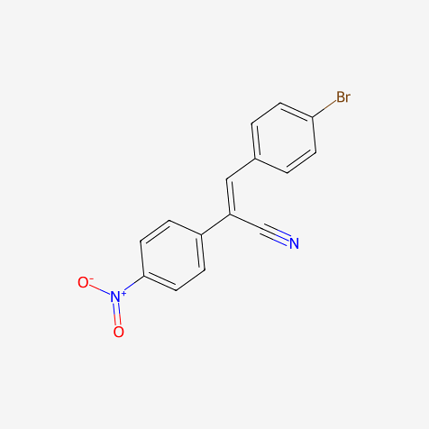 N#C/C(=C\c1ccc(Br)cc1)c1ccc([N+](=O)[O-])cc1